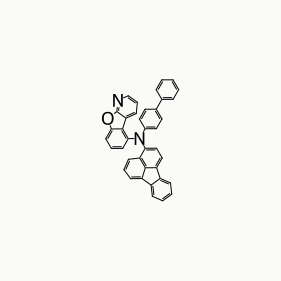 c1ccc(-c2ccc(N(c3ccc4c5c(cccc35)-c3ccccc3-4)c3cccc4oc5ncccc5c34)cc2)cc1